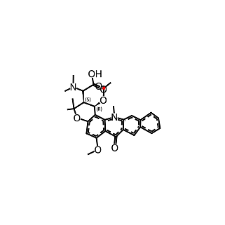 COc1cc2c(c3c1c(=O)c1cc4ccccc4cc1n3C)[C@H](OC(C)=O)[C@H](C(C(=O)O)N(C)C)C(C)(C)O2